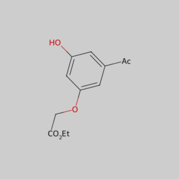 CCOC(=O)COc1cc(O)cc(C(C)=O)c1